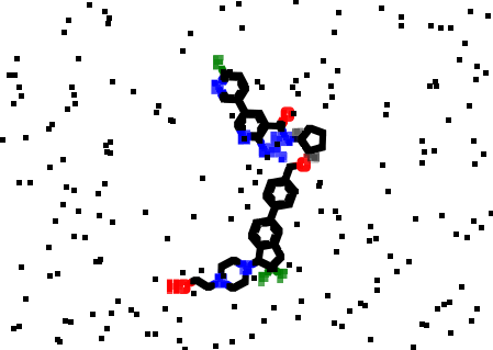 Nc1ncc(-c2ccc(F)nc2)cc1C(=O)N[C@H]1CCC[C@@H]1OCc1ccc(-c2ccc3c(c2)CC(F)(F)C3N2CCN(CCO)CC2)cc1